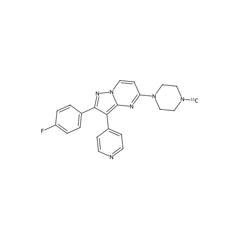 [11CH3]N1CCN(c2ccn3nc(-c4ccc(F)cc4)c(-c4ccncc4)c3n2)CC1